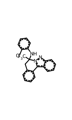 FC(F)(F)C1(Nc2ccccc2Cl)Cc2ccccc2-c2c3ccccc3nn21